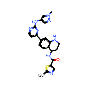 Cn1cc(Nc2nccc(-c3ccc4c(c3)NCCC4NC(=O)c3cnc(C(C)(C)C)s3)n2)cn1